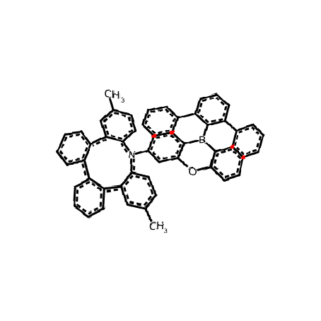 Cc1ccc2c(c1)c1ccccc1c1ccccc1c1cc(C)ccc1n2-c1ccc2c(c1)Oc1ccccc1B2c1c(-c2ccccc2)cccc1-c1ccccc1